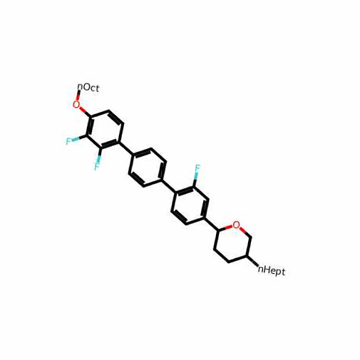 CCCCCCCCOc1ccc(-c2ccc(-c3ccc(C4CCC(CCCCCCC)CO4)cc3F)cc2)c(F)c1F